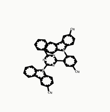 N#Cc1ccc(-n2c3ccccc3c3cc(C#N)ccc32)c(-c2nc(-c3ccccc3)nc(-n3c4ccccc4c4cc(C#N)ccc43)n2)c1